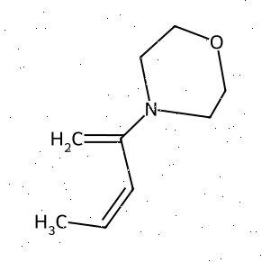 C=C(/C=C\C)N1CCOCC1